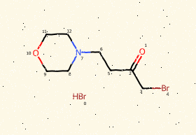 Br.O=C(CBr)CCN1CCOCC1